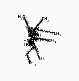 CCCCCCCCCCCCCCCC(=O)OC(CCCCCCCCCCC)CC(=O)NC1C(OP(=O)(O)O)OC(CO[C@@H]2OC(CO)[C@@H](OP(=O)(O)O)[C@H](OC(=O)CC(CCCCCCCCCCC)OC(=O)CCCCCCCCCCCCCCC)C2NC(=O)CC(O)CCCCCCCCCCC)[C@@H](O)[C@@H]1OC(=O)CC(O)CCCCCCCCCCC